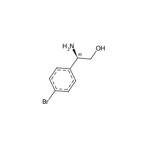 N[C@@H](CO)c1ccc(Br)cc1